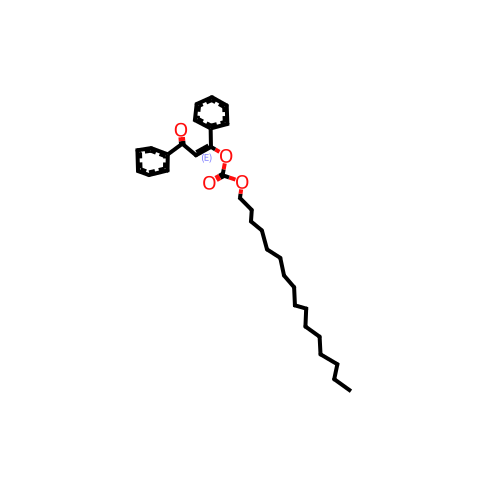 CCCCCCCCCCCCCCCCOC(=O)O/C(=C/C(=O)c1ccccc1)c1ccccc1